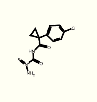 N[N+](=S)C(=O)NC(=O)C1(c2ccc(Cl)cc2)CC1